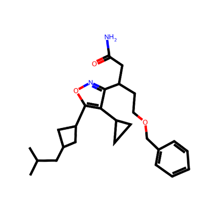 CC(C)CC1CC(c2onc(C(CCOCc3ccccc3)CC(N)=O)c2C2CC2)C1